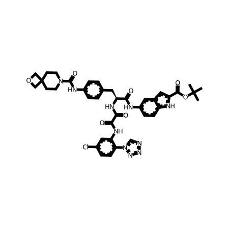 CC(C)(C)OC(=O)c1cc2cc(NC(=O)[C@H](Cc3ccc(NC(=O)N4CCC5(CC4)COC5)cc3)NC(=O)C(=O)Nc3cc(Cl)ccc3-n3cnnn3)ccc2[nH]1